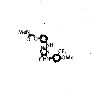 CNC(=O)COc1cccc(Nc2ncc(F)c(Nc3ccc(OC)c(C(F)(F)F)c3)n2)c1